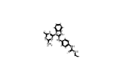 CCNC(=S)Nc1ccc(Nc2nc3ccccc3n2-c2nc(C)nc(N)n2)cc1